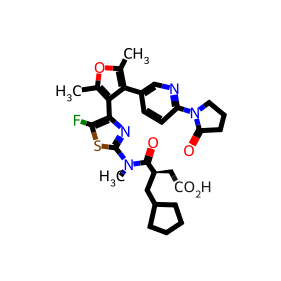 Cc1oc(C)c(-c2nc(N(C)C(=O)[C@@H](CC(=O)O)CC3CCCC3)sc2F)c1-c1ccc(N2CCCC2=O)nc1